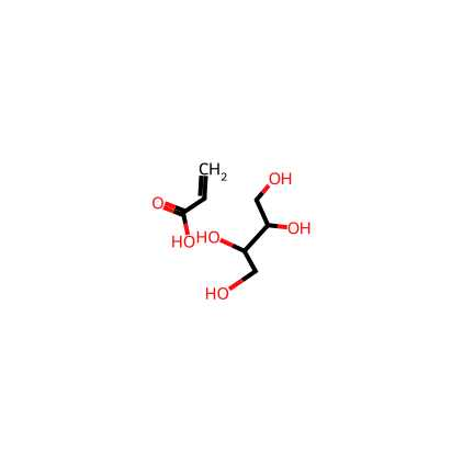 C=CC(=O)O.OCC(O)C(O)CO